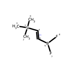 C[Si](C)(C)/C=C/B(F)F